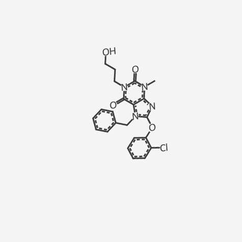 Cn1c(=O)n(CCCO)c(=O)c2c1nc(Oc1ccccc1Cl)n2Cc1ccccc1